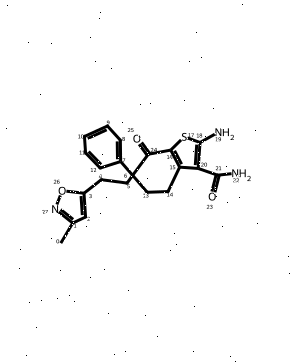 Cc1cc(CCC2(c3ccccc3)CCc3c(sc(N)c3C(N)=O)C2=O)on1